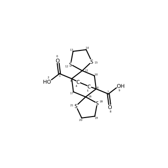 O=C(O)C12CCC(C(=O)O)(CC13SCCS3)C1(C2)SCCS1